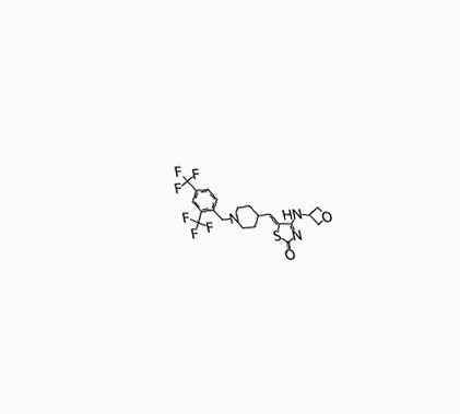 O=C1N=C(NC2COC2)C(=CC2CCN(Cc3ccc(C(F)(F)F)cc3C(F)(F)F)CC2)S1